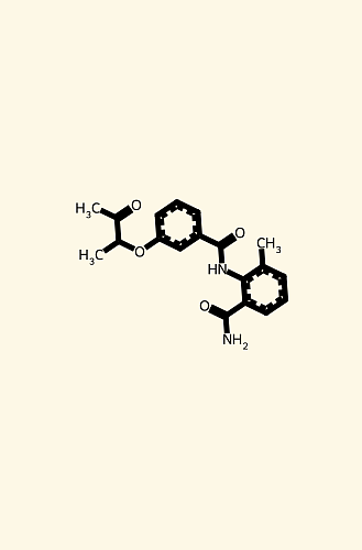 CC(=O)C(C)Oc1cccc(C(=O)Nc2c(C)cccc2C(N)=O)c1